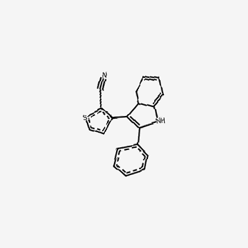 N#Cc1sccc1C1=C(c2ccccc2)NC2=CC=CCC21